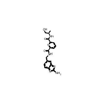 CC(CO)NC(=O)c1cccc(C(=O)NCc2ccc3nc(N)sc3c2)n1